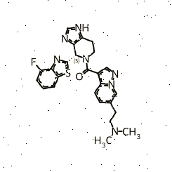 CN(C)CCc1ccc2c(C(=O)N3CCc4[nH]cnc4[C@H]3c3nc4c(F)cccc4s3)cnn2c1